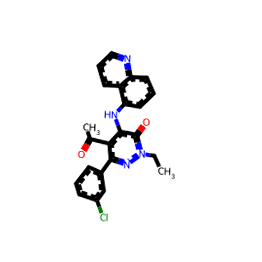 CCn1nc(-c2cccc(Cl)c2)c(C(C)=O)c(Nc2cccc3ncccc23)c1=O